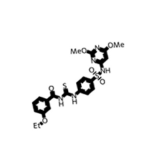 CCOc1cccc(C(=O)NC(=S)Nc2ccc(S(=O)(=O)Nc3cc(OC)nc(OC)n3)cc2)c1